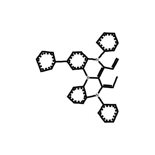 C=CC1=C2B(c3cc(-c4ccccc4)ccc3N1c1ccccc1)c1ccccc1N(c1ccccc1)/C2=C/C